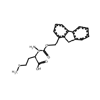 CSCCC(C(=O)O)N(N)C(=O)OCc1cccc2c1Cc1ccccc1-2